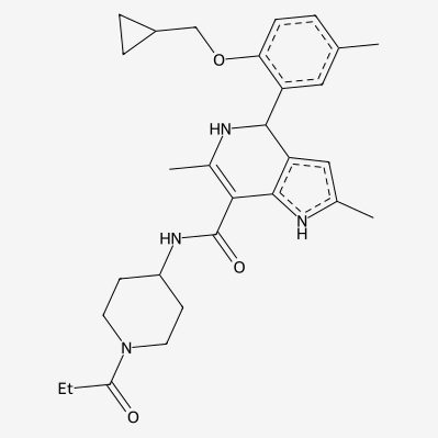 CCC(=O)N1CCC(NC(=O)C2=C(C)NC(c3cc(C)ccc3OCC3CC3)c3cc(C)[nH]c32)CC1